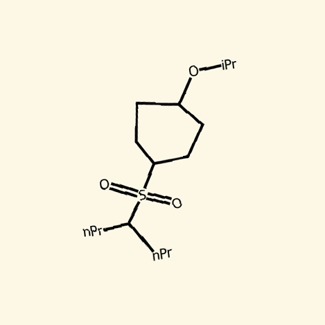 CCCC(CCC)S(=O)(=O)C1CCC(OC(C)C)CC1